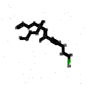 C=CCCC(C)(/C=C(\C)C#CCCCF)CCCC